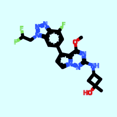 COc1nc(NC2CC(C)(O)C2)nn2ccc(-c3cc(F)c4nnn(CC(F)F)c4c3)c12